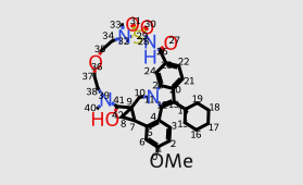 COc1ccc2c(c1)C1CC13Cn1c-2c(C2CCCCC2)c2ccc(cc21)C(=O)NS(=O)(=O)N(C)CCOCCN(C)C3O